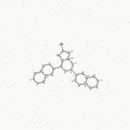 Brc1nc2c(-c3ccc4ccccc4c3)cc(-c3ccc4ccccc4c3)cn2n1